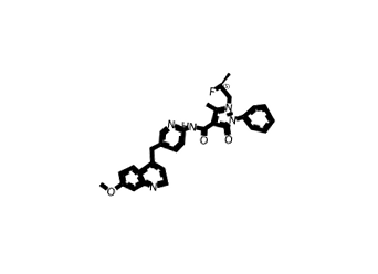 COc1ccc2c(Cc3ccc(NC(=O)c4c(C)n(C[C@H](C)F)n(-c5ccccc5)c4=O)nc3)ccnc2c1